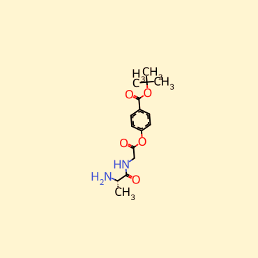 C[C@H](N)C(=O)NCC(=O)Oc1ccc(C(=O)OC(C)(C)C)cc1